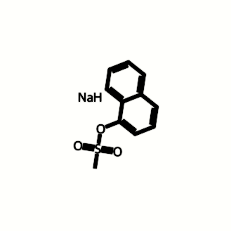 CS(=O)(=O)Oc1cccc2ccccc12.[NaH]